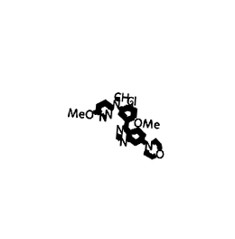 COc1ccc(N(C)c2cc(-c3ncnc4cc(N5CCOCC5)ccc34)c(OC)cc2Cl)nn1